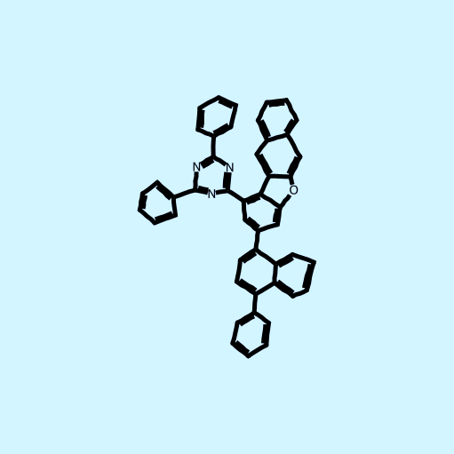 c1ccc(-c2nc(-c3ccccc3)nc(-c3cc(-c4ccc(-c5ccccc5)c5ccccc45)cc4oc5cc6ccccc6cc5c34)n2)cc1